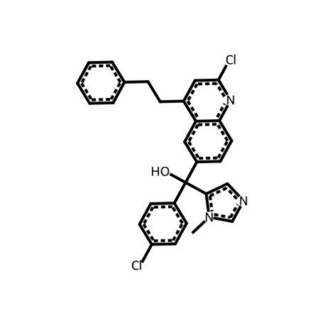 Cn1cncc1C(O)(c1ccc(Cl)cc1)c1ccc2nc(Cl)cc(CCc3ccccc3)c2c1